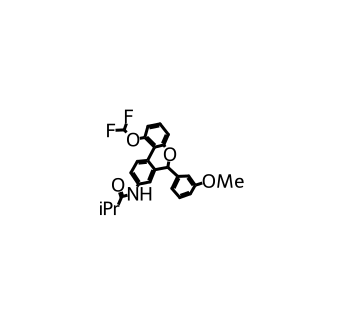 COc1cccc(C2Oc3cccc(OC(F)F)c3-c3ccc(NC(=O)C(C)C)cc32)c1